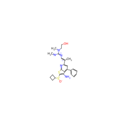 C=N/C(=N\C=C(/C)c1cc(-c2ccccc2)c2c(N)c([S+]([O-])C3CCC3)sc2n1)N(C)CCO